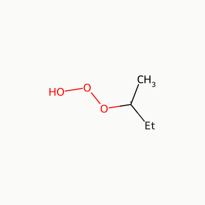 CC[C](C)OOO